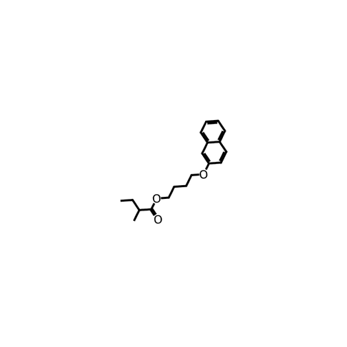 CCC(C)C(=O)OCCCCOc1ccc2ccccc2c1